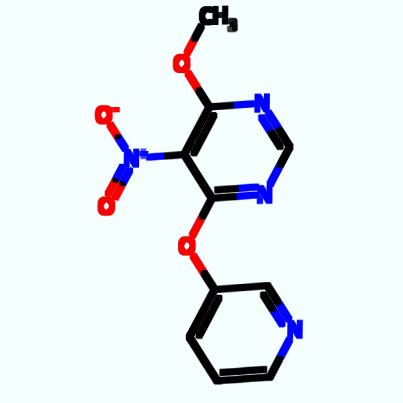 COc1ncnc(Oc2cccnc2)c1[N+](=O)[O-]